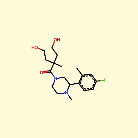 Cc1cc(F)ccc1C1CN(C(=O)C(C)(CCO)CCO)CCN1C